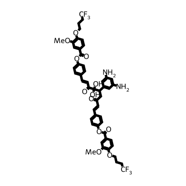 COc1cc(C(=O)Oc2ccc(C=CC(=O)CC(c3cc(N)cc(N)c3)C(O)(O)C(=O)C=Cc3ccc(OC(=O)c4ccc(OCCCC(F)(F)F)c(OC)c4)cc3)cc2)ccc1OCCCC(F)(F)F